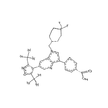 [2H]C([2H])([2H])c1noc(C([2H])([2H])[2H])c1-c1cnc2c(-c3ccc(C(=O)O)cc3)cn(CC3CCC(F)(F)CC3)c2c1